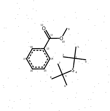 CC(C)(C)SC(C)(C)C.COC(=O)c1ccccc1